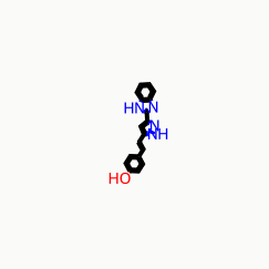 Oc1ccc(/C=C/c2cc(-c3nc4ccccc4[nH]3)n[nH]2)cc1